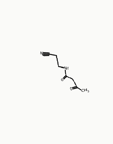 CC(=O)CC(=O)NCCC#N